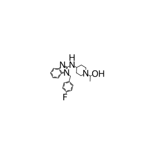 CC(O)N1CCC(Nc2nc3ccccc3n2Cc2ccc(F)cc2)CC1